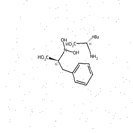 CCCC[C@H](N)C(=O)O.O=C(O)[C@H](Cc1ccccc1)N(O)O